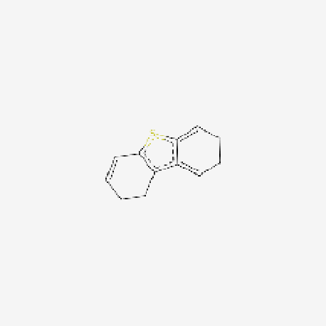 C1=Cc2sc3c(c2CC1)=CCCC=3